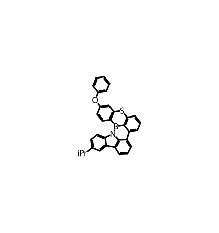 CC(C)c1ccc2c(c1)c1cccc3c1n2B1c2ccc(Oc4ccccc4)cc2Sc2cccc-3c21